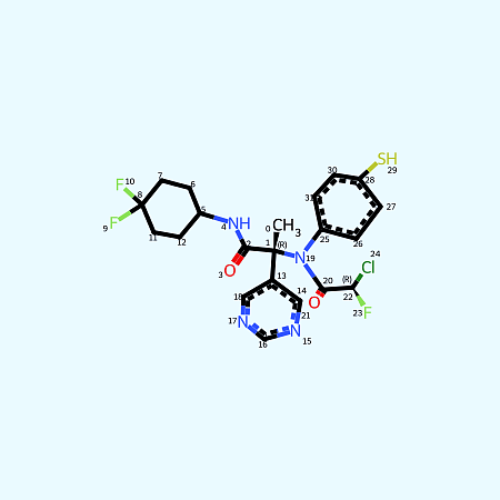 C[C@](C(=O)NC1CCC(F)(F)CC1)(c1cncnc1)N(C(=O)[C@H](F)Cl)c1ccc(S)cc1